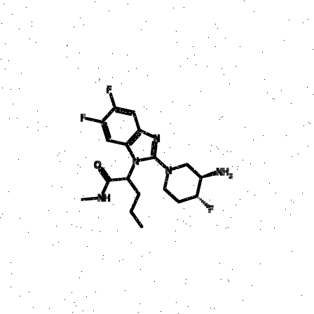 CCCC(C(=O)NC)n1c(N2CC[C@@H](F)[C@H](N)C2)nc2cc(F)c(F)cc21